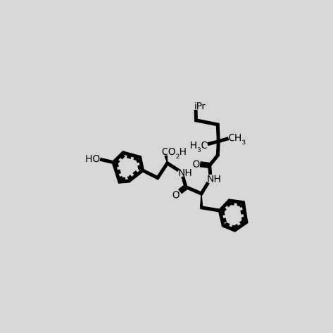 CC(C)CCC(C)(C)CC(=O)N[C@@H](Cc1ccccc1)C(=O)N[C@@H](Cc1ccc(O)cc1)C(=O)O